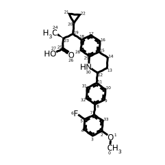 COc1ccc(F)c(-c2ccc(C3CCc4ccc(C(C5CC5)[C@H](C)C(=O)O)cc4N3)cc2)c1